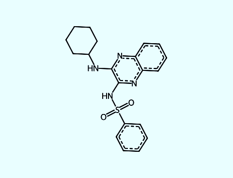 O=S(=O)(Nc1nc2ccccc2nc1NC1CCCCC1)c1ccccc1